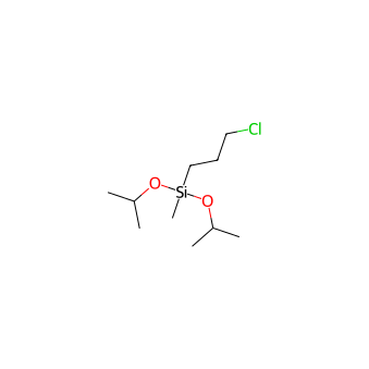 CC(C)O[Si](C)(CCCCl)OC(C)C